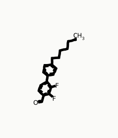 CCCCCCCc1ccc(-c2ccc(C=O)c(F)c2F)cc1